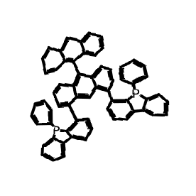 c1ccc(-p2c3ccccc3c3cccc(-c4cccc5c(-c6c7ccccc7cc7ccccc67)c6cccc(-c7cccc8c9ccccc9p(-c9ccccc9)c78)c6cc45)c32)cc1